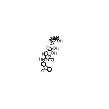 O=C1c2ccccc2-c2cc(Nc3nc(Cl)nc4c3ncn4[C@@H]3O[C@H](COP(=O)(O)CP(=O)(O)O)C(O)C3O)ccc21